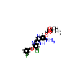 CC1(C)OCC(COc2cc3ncc(C#N)c(Nc4ccc(OCc5cccc(F)c5)c(Cl)c4)c3cc2N)O1